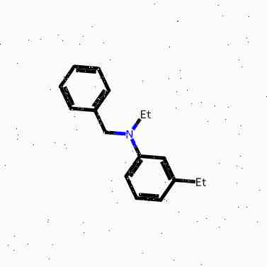 CCc1cccc(N(CC)Cc2ccccc2)c1